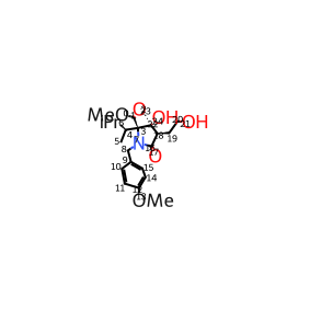 COC(=O)[C@]1([C@@H](C)C(C)C)N(Cc2ccc(OC)cc2)C(=O)[C@H](CCO)[C@]1(C)O